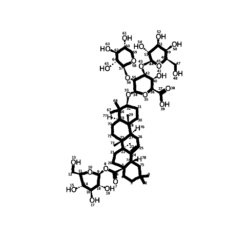 CC1(C)CC[C@]2(C(=O)O[C@@H]3O[C@H](CO)[C@@H](O)[C@H](O)[C@H]3O)CC[C@]3(C)C(=CC[C@@H]4[C@@]5(C)CC[C@H](O[C@@H]6O[C@H](C(=O)O)[C@@H](O)[C@H](O[C@@H]7O[C@H](CO)[C@H](O)[C@H](O)[C@H]7O)[C@H]6O[C@@H]6OC[C@@H](O)[C@H](O)[C@H]6O)C(C)(C)[C@@H]5CC[C@]43C)[C@@H]2C1